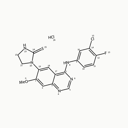 COc1cc2ncnc(Nc3ccc(F)c(Cl)c3)c2cc1N1CCNC1=S.Cl